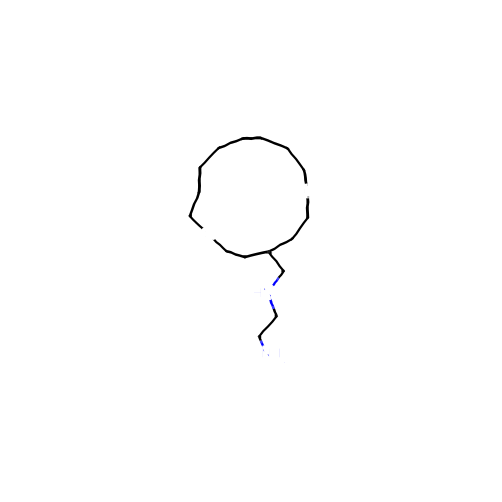 NCCNCC1CCCCCCCCCCCCCC1